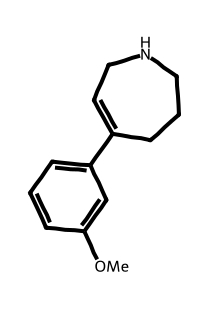 COc1cccc(C2=CCNCCC2)c1